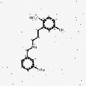 CCCCc1cccc(CNCCCc2cc(C)ccc2C(=O)O)c1